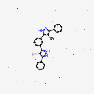 CC(C)c1c(-c2ccccc2)n[nH]c1-c1cccc(-c2[nH]nc(-c3ccccc3)c2C(C)C)c1